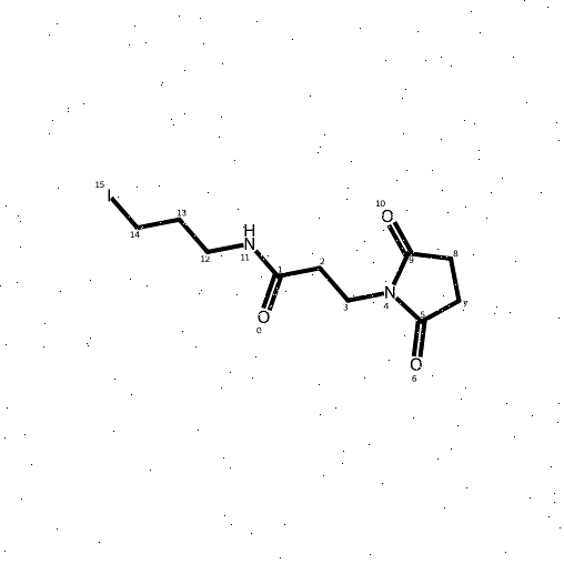 O=C(CCN1C(=O)CCC1=O)NCCCI